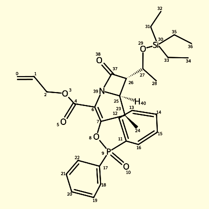 C=CCOC(=O)C1=C(OP(=O)(c2ccccc2)c2ccccc2)[C@H](C)[C@@H]2[C@@H](C(C)O[Si](CC)(CC)CC)C(=O)N12